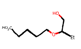 CCC(CO)OCCCCC(=O)O